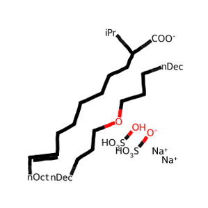 CCCCCCCCC=CCCCCCCC(C(=O)[O-])C(C)C.CCCCCCCCCCCCCOCCCCCCCCCCCCC.O=S(=O)(O)O.O=S(=O)([O-])O.[Na+].[Na+]